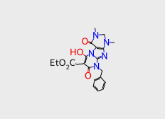 CCOC(=O)Cc1c(O)n2c3c(nc2n(Cc2ccccc2)c1=O)N(C)CN(C)C3=O